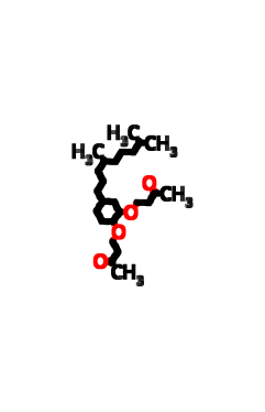 CC(=O)CCOC1CCC(CCCC(C)CCCC(C)C)CC1OCCC(C)=O